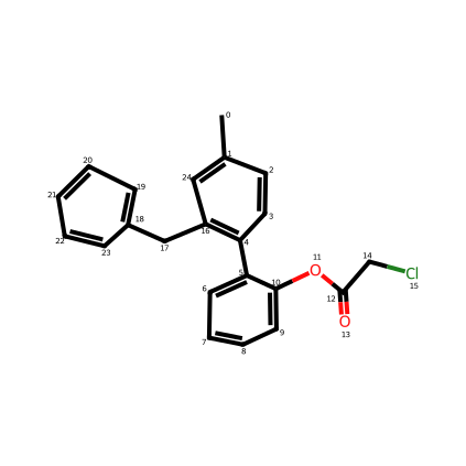 Cc1ccc(-c2ccccc2OC(=O)CCl)c(Cc2ccccc2)c1